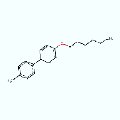 CCCCCCOC1=CCC(c2ccc(C)cc2)C=C1